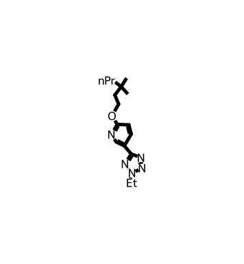 CCCC(C)(C)CCOc1ccc(-c2nnn(CC)n2)cn1